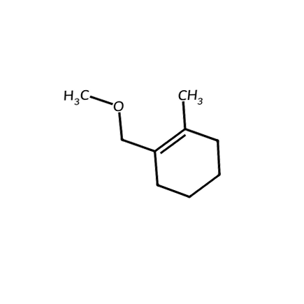 COCC1=C(C)CCCC1